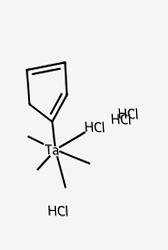 Cl.Cl.Cl.Cl.[CH3][Ta]([CH3])([CH3])([CH3])([CH3])[C]1=CC=CC1